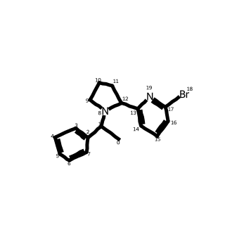 CC(c1ccccc1)N1CCCC1c1cccc(Br)n1